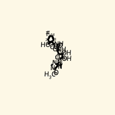 COc1ncnc2c1ncn2[C@@H]1OC(CNS(=O)(=O)NC(=O)c2ccc(F)cc2O)[C@@H](O)[C@H]1O